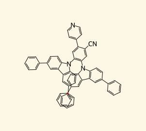 N#Cc1cc(-n2c3ccc(-c4ccccc4)cc3c3cc(-c4ccccc4)ccc32)c(-n2c3ccc(-c4ccccc4)cc3c3cc(-c4ccccc4)ccc32)cc1-c1ccncc1